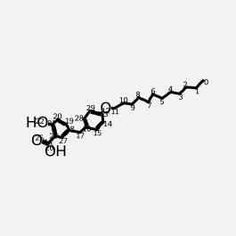 CCCCCCCCCCCCOc1ccc(Cc2ccc(O)c(C(=O)O)c2)cc1